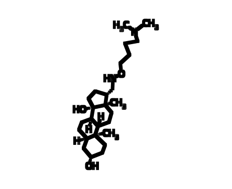 CN(C)CCCCONC[C@H]1CC[C@]2(O)[C@@H]3CC[C@@H]4C[C@@H](O)CC[C@]4(C)[C@H]3CC[C@]12C